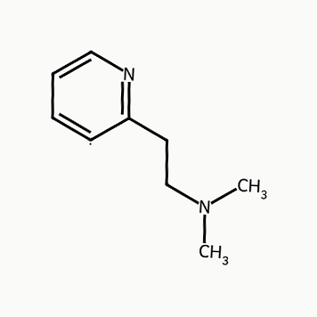 CN(C)CCc1[c]cccn1